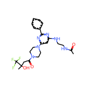 CC(=O)NCCNc1cc(N2CCN(C(=O)CC(C)(O)C(F)(F)F)CC2)nc(-c2ccccc2)n1